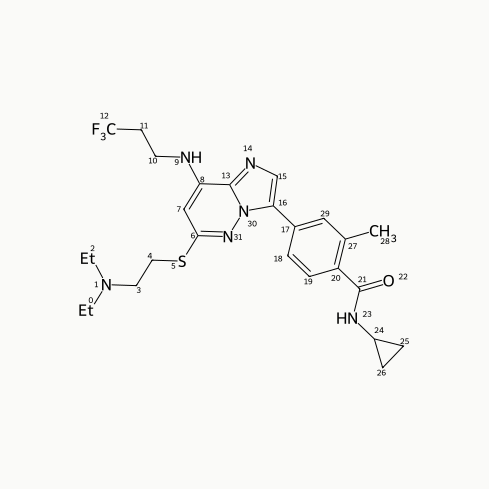 CCN(CC)CCSc1cc(NCCC(F)(F)F)c2ncc(-c3ccc(C(=O)NC4CC4)c(C)c3)n2n1